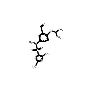 Cc1nc(C)c(S(=O)(=O)N(C)c2ccc(OC(C)C)c(C=O)c2)s1